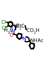 CCC(CN(C)C(=O)c1ccc(N2CCC(NC(C)=O)(c3ccccc3)CC2)cc1)c1ccc(Cl)c(Cl)c1.O=C(O)CCC(=O)O